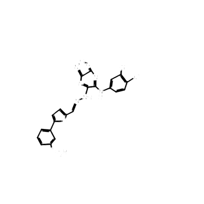 O=C(O)c1cccc(-c2ccc(C=NNc3nc4nonc4nc3Nc3ccc(Cl)c(Cl)c3)o2)c1